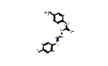 N=C(Nc1ccc(N)cc1)SS/C=N/c1ccc(N)cc1